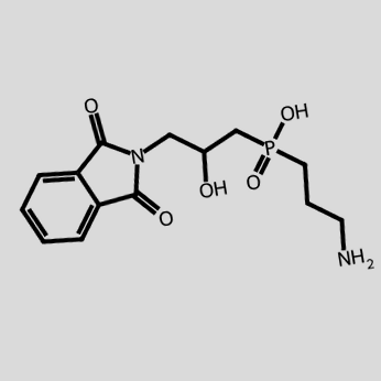 NCCCP(=O)(O)CC(O)CN1C(=O)c2ccccc2C1=O